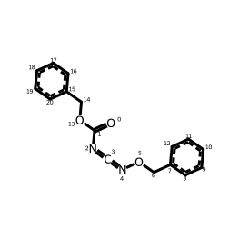 O=C(N=C=NOCc1ccccc1)OCc1ccccc1